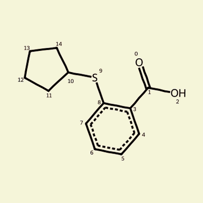 O=C(O)c1ccccc1SC1CCCC1